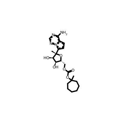 CC1(OC(=O)OC[C@H]2O[C@@](C)(c3ccc4c(N)ncnn34)[C@H](O)[C@@H]2O)CCCCCC1